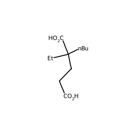 CCCCC(CC)(CCC(=O)O)C(=O)O